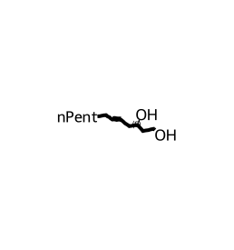 CCCCCCC=CC[C@H](O)CCO